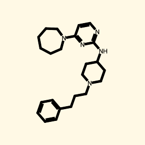 c1ccc(CCCN2CCC(Nc3nccc(N4CCCCCC4)n3)CC2)cc1